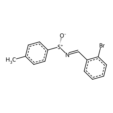 Cc1ccc([S@+]([O-])/N=C/c2ccccc2Br)cc1